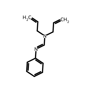 C=CCN(C=Nc1ccccc1)CC=C